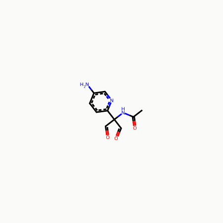 CC(=O)NC(C=O)(C=O)c1ccc(N)cn1